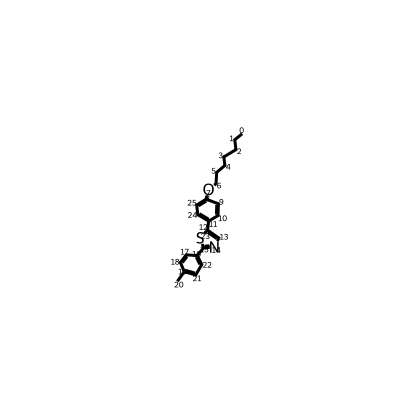 CCCCCCCOc1ccc(-c2cnc(-c3ccc(C)cc3)s2)cc1